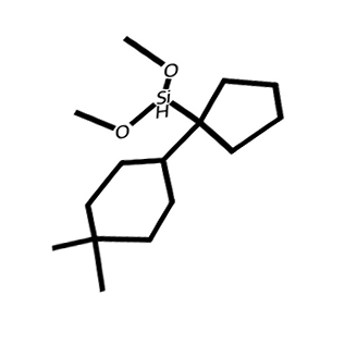 CO[SiH](OC)C1(C2CCC(C)(C)CC2)CCCC1